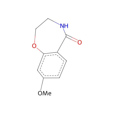 COc1ccc2c(c1)OCCNC2=O